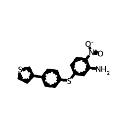 Nc1cc(Sc2ccc(-c3ccsc3)cc2)ccc1[N+](=O)[O-]